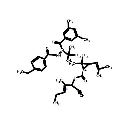 C#CC(OC(=O)[C@@H]1C(C=C(C)C)C1(C)C)/C(C)=C/CC.CCc1ccc(C(=O)NN(C(=O)c2cc(C)cc(C)c2)C(C)(C)C)cc1